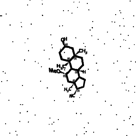 CO[C@H]1C[C@@]2(C)C(CC[C@@H]2C#N)[C@@H]2CC[C@]3(C)C[C@H](O)CC[C@]3(C)C21